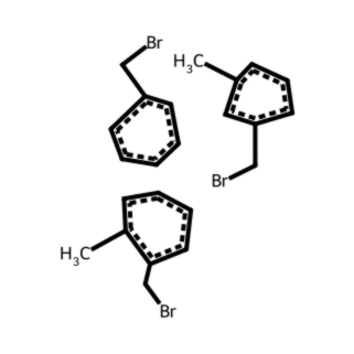 BrCc1ccccc1.Cc1cccc(CBr)c1.Cc1ccccc1CBr